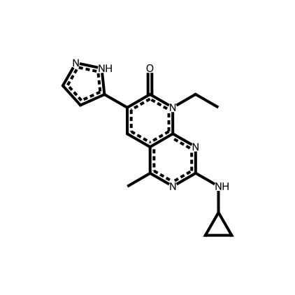 CCn1c(=O)c(-c2ccn[nH]2)cc2c(C)nc(NC3CC3)nc21